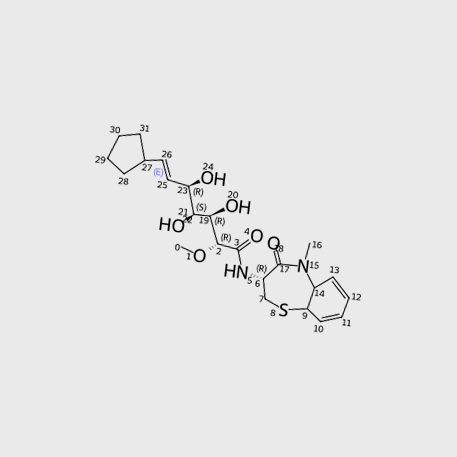 CO[C@@H](C(=O)N[C@H]1CSC2C=CC=CC2N(C)C1=O)[C@H](O)[C@@H](O)[C@H](O)/C=C/C1CCCC1